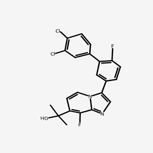 CC(C)(O)c1ccn2c(-c3ccc(F)c(-c4ccc(Cl)c(Cl)c4)c3)cnc2c1F